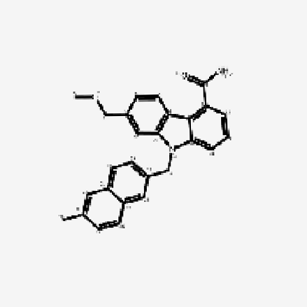 COCc1c[c]c2c3c(C(N)=O)cccc3n(Cc3ccc4cc(C)ccc4c3)c2c1